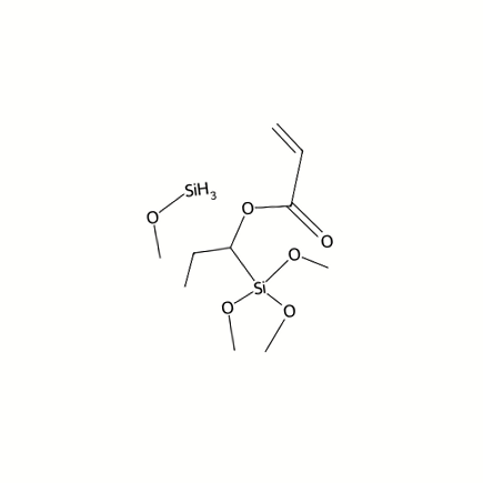 C=CC(=O)OC(CC)[Si](OC)(OC)OC.CO[SiH3]